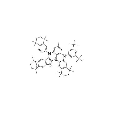 Cc1cc2c3c(c1)N(c1ccc4c(c1)C(C)(C)CCC4(C)C)c1c(sc4cc5c(cc14)C1(C)CCC5(C)CC1)B3c1cc3c(cc1N2c1cc(C(C)(C)C)cc(C(C)(C)C)c1)C(C)(C)CCC3(C)C